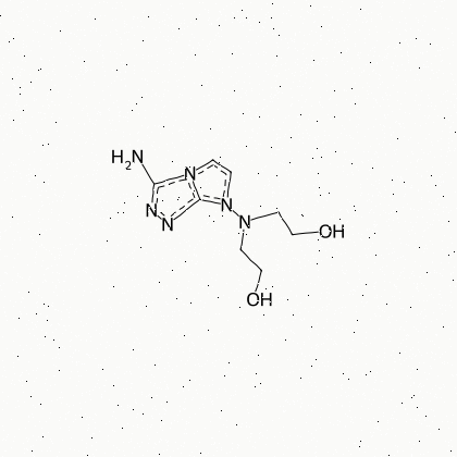 Nc1nnc2n(N(CCO)CCO)ccn12